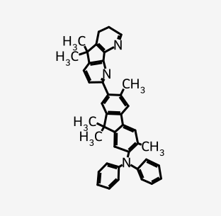 Cc1cc2c(cc1-c1ccc3c(n1)C1=C(CCC=N1)C3(C)C)C(C)(C)c1cc(N(c3ccccc3)c3ccccc3)c(C)cc1-2